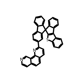 c1ccc2c(c1)-c1ccc(-c3ccc4ccc5ccncc5c4n3)cc1C21c2ccccc2-c2c1sc1ccccc21